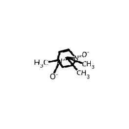 CC12CC[N+]([O-])(CC1)C(C)(C)C=[N+]2[O-]